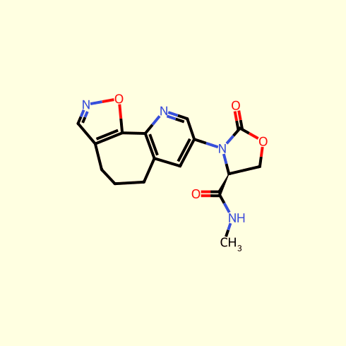 CNC(=O)[C@@H]1COC(=O)N1c1cnc2c(c1)CCCc1cnoc1-2